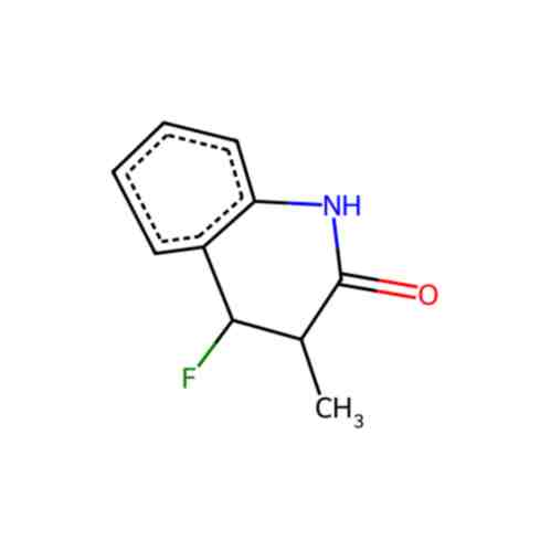 CC1C(=O)Nc2ccccc2C1F